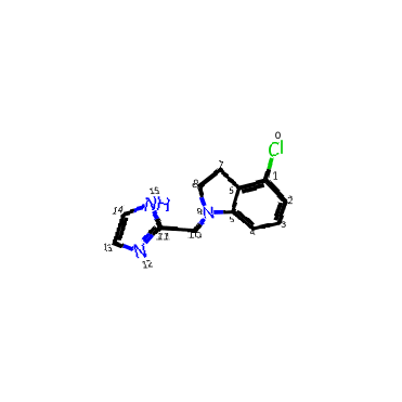 Clc1cccc2c1CCN2Cc1ncc[nH]1